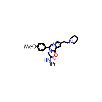 COc1ccc(-c2cn3cc(CCN4CCCCC4)cc3c(=O)n2CC(=O)NC(C)C)cc1